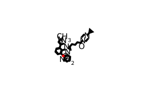 Cn1cc(-c2cccc(C(N)=O)c2-c2nc(CCCC(=O)N3CCN(C4CC4)CC3)cn2-c2ccccc2)cn1